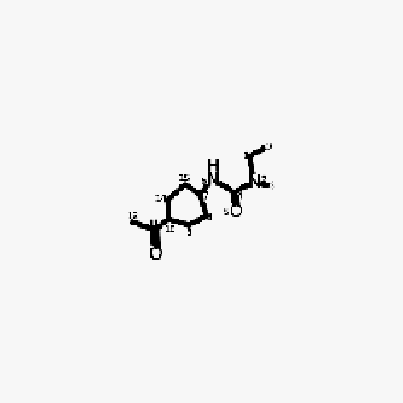 CCN(C)C(=O)NC1CCC(C(C)=O)CC1